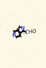 O=CC1=NCc2cnccc21